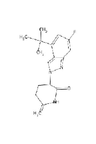 C=C1CCC(n2cc3c(C(C)(C)C)cc(F)cc3n2)C(=O)N1